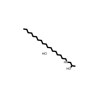 CCCCCCCCCCCCCCCCCCNCC(C)O.Cl